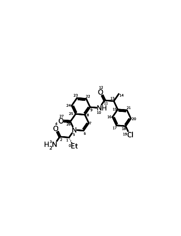 CC[C@H](C(N)=O)n1ccc2c(NC(=O)C(C)c3ccc(Cl)cc3)cccc2c1=O